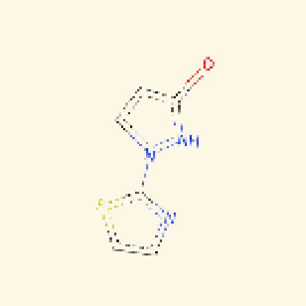 O=c1ccn(-c2nccs2)[nH]1